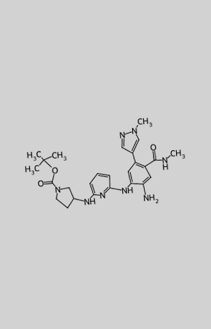 CNC(=O)c1cc(N)c(Nc2cccc(NC3CCN(C(=O)OC(C)(C)C)C3)n2)cc1-c1cnn(C)c1